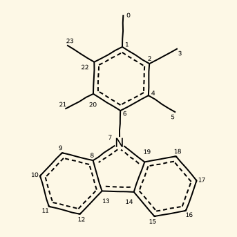 Cc1c(C)c(C)c(-n2c3ccccc3c3ccccc32)c(C)c1C